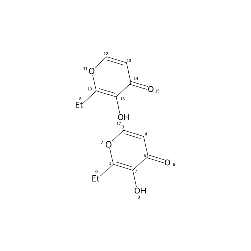 CCc1occc(=O)c1O.CCc1occc(=O)c1O